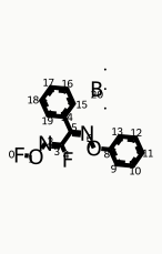 FON=C(F)C(=NOc1ccccc1)c1ccccc1.[B]